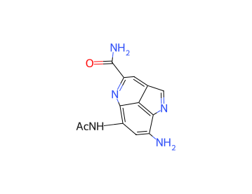 CC(=O)Nc1cc(N)c2c3c(cc(C(N)=O)nc13)C=N2